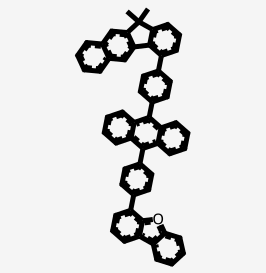 CC1(C)c2cc3ccccc3cc2-c2c(-c3ccc(-c4c5ccccc5c(-c5ccc(-c6cccc7c6oc6ccccc67)cc5)c5ccccc45)cc3)cccc21